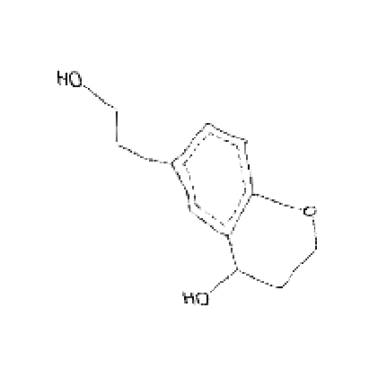 OCCc1ccc2c(c1)C(O)CCO2